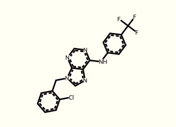 FC(F)(F)c1ccc(Nc2ncnc3c2ncn3Cc2ccccc2Cl)cc1